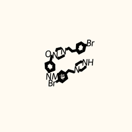 Brc1ccc(CCN2CCNCC2)cc1.CNc1ccc(C(=O)N2CCN(CCc3ccc(Br)cc3)CC2)cc1